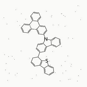 C1=Cc2c(sc3ccccc23)C(c2ccc3c(c2)c2ccccc2n3-c2ccc3c4ccccc4c4ccccc4c3c2)C1